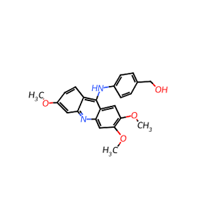 COc1ccc2c(Nc3ccc(CO)cc3)c3cc(OC)c(OC)cc3nc2c1